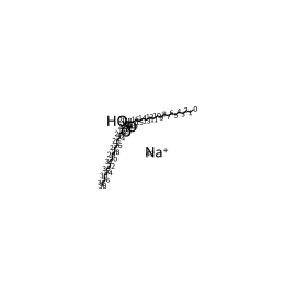 CCCCCCCCCCCCCCCCCCCC(O)(CCCCCCCCCCCCCCCCCC)C(=O)[O-].[Na+]